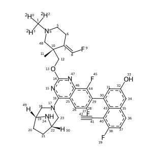 [2H]C([2H])([2H])N1CC/C(=C\F)[C@](C)(COc2nc(N3C[C@H]4CC[C@@H](C3)N4)c3cc(F)c(-c4cc(O)cc5ccc(F)c(C#C)c45)c(F)c3n2)C1